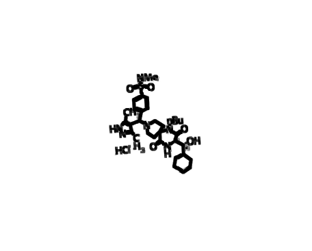 CCCCN1C(=O)[C@@H]([C@H](O)C2CCCCC2)NC(=O)C12CCN(C(c1ccc(S(=O)(=O)NC)cc1)c1c(C)n[nH]c1C)CC2.Cl